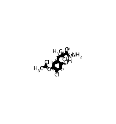 CC(C)Oc1cc(CC(C)(C)C(=O)NN)c(Cl)cc1Cl